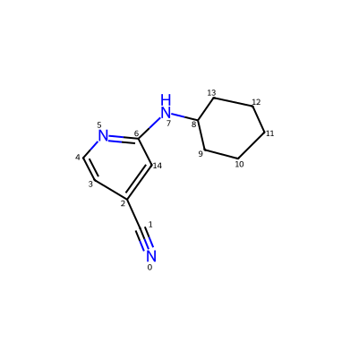 N#Cc1ccnc(NC2CCCCC2)c1